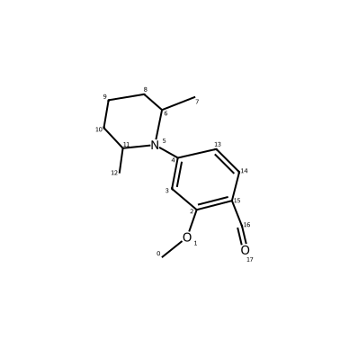 COc1cc(N2C(C)CCCC2C)ccc1C=O